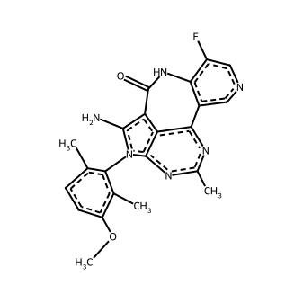 COc1ccc(C)c(-n2c(N)c3c4c(nc(C)nc42)-c2cncc(F)c2NC3=O)c1C